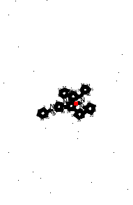 c1ccc(-c2nc3cc4c(cc3s2)c2cc(-c3cccc5c6ccccc6n(-c6nc(-c7ccccc7)c7ccccc7n6)c35)ccc2n4-c2ccccc2)cc1